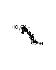 O=C(O)c1cn(C2CC2)c2cc(N3CCC(COc4ccc(N5CC(CO)OC5=O)cc4F)CC3)c(F)cc2c1=O